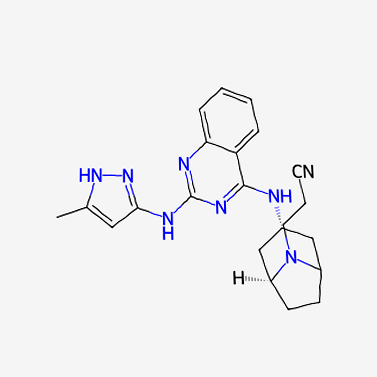 Cc1cc(Nc2nc(N[C@@H]3CC4CC[C@@H](C3)N4CCC#N)c3ccccc3n2)n[nH]1